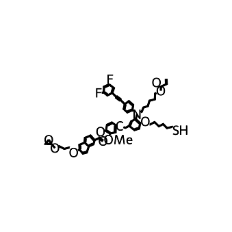 C=CC(=O)OCCCCCCN(c1ccc(C#Cc2cc(F)cc(F)c2)cc1)c1cc(CCc2ccc(OC(=O)c3ccc4cc(OCCCOC5CO5)ccc4c3)c(OC)c2)ccc1OCCCCCCS